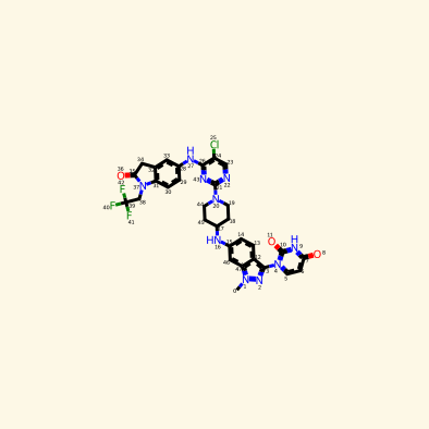 Cn1nc(-n2ccc(=O)[nH]c2=O)c2ccc(NC3CCN(c4ncc(Cl)c(Nc5ccc6c(c5)CC(=O)N6CC(F)(F)F)n4)CC3)cc21